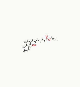 CCOC(=O)CCCCCCc1ccc2ccccc2c1O